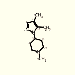 Cc1cnn(C2CCN(C)CC2)c1C